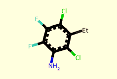 CCc1c(Cl)c(N)c(F)c(F)c1Cl